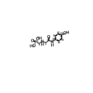 O=C(CNCP(=O)(O)O)Nc1ccc(O)cc1